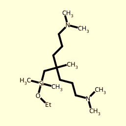 CCO[Si](C)(C)CC(C)(CCCN(C)C)CCCN(C)C